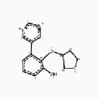 Oc1cccc(-c2cncnc2)c1OC1CCOC1